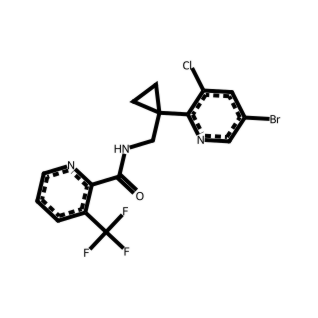 O=C(NCC1(c2ncc(Br)cc2Cl)CC1)c1ncccc1C(F)(F)F